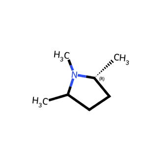 CC1CC[C@@H](C)N1C